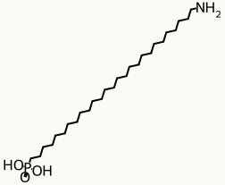 NCCCCCCCCCCCCCCCCCCCCCCCCCCCP(=O)(O)O